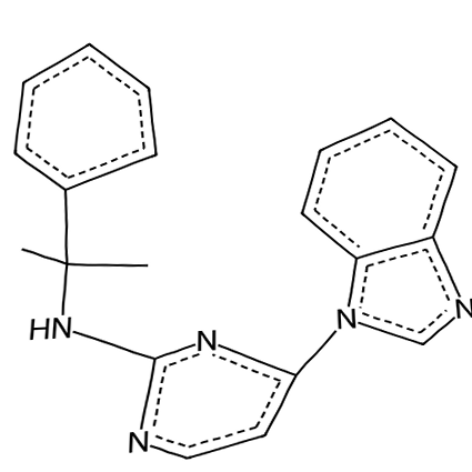 CC(C)(Nc1nccc(-n2cnc3ccccc32)n1)c1ccccc1